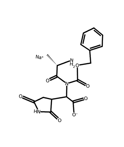 C[C@H](N)C(=O)N(C(=O)OCc1ccccc1)C(C(=O)[O-])C1CC(=O)NC1=O.[Na+]